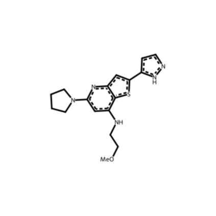 COCCNc1cc(N2CCCC2)nc2cc(-c3ccn[nH]3)sc12